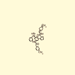 CCCN(Cc1ccccc1)c1cc(NC(=O)Cc2ccc(C)cc2)cc(-c2ccccc2C(=O)NSN2CCN(C)CC2)n1